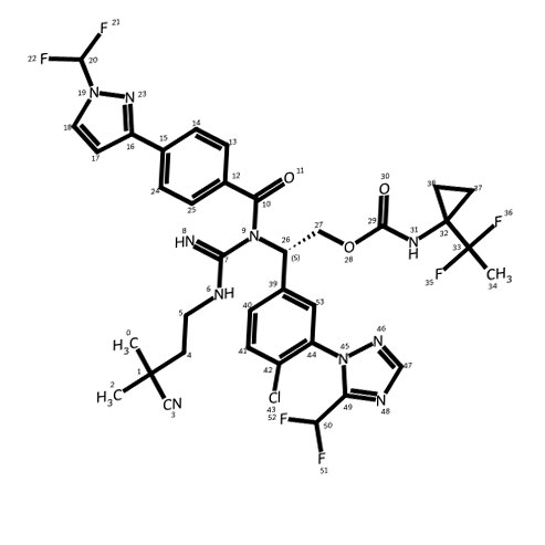 CC(C)(C#N)CCNC(=N)N(C(=O)c1ccc(-c2ccn(C(F)F)n2)cc1)[C@H](COC(=O)NC1(C(C)(F)F)CC1)c1ccc(Cl)c(-n2ncnc2C(F)F)c1